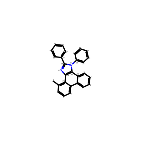 Cc1cccc2c3ccccc3c3c(nc(-c4ccccc4)n3-c3ccccc3)c12